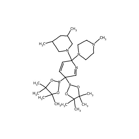 CC1CC(C)CN(C2(N3CCN(C)CC3)C=CC(B3OC(C)(C)C(C)(C)O3)(B3OC(C)(C)C(C)(C)O3)C=N2)C1